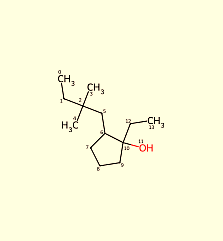 CCC(C)(C)CC1CCCC1(O)CC